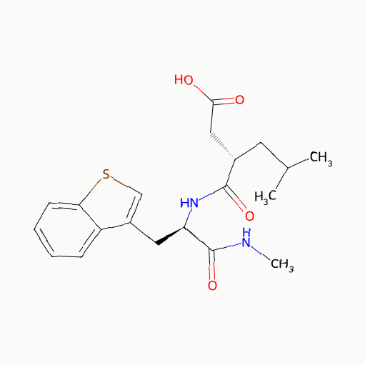 CNC(=O)[C@@H](Cc1csc2ccccc12)NC(=O)[C@H](CC(=O)O)CC(C)C